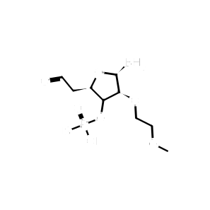 B[C@@H]1O[C@H](CC=O)C(OP(=O)(O)S)[C@@H]1OCCOC